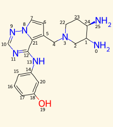 NC1CN(Cc2ccn3ncnc(Nc4cccc(O)c4)c23)CC[C@H]1N